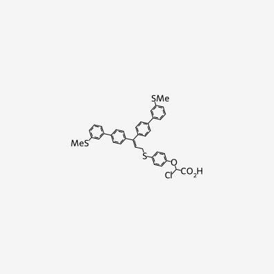 CSc1cccc(-c2ccc(C(=CCSc3ccc(OC(Cl)C(=O)O)cc3)c3ccc(-c4cccc(SC)c4)cc3)cc2)c1